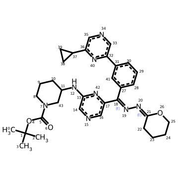 CC(C)(C)OC(=O)N1CCCC(Nc2cncc(/C(=N/N=C3\CCCCO3)c3cccc(-c4cncc(C5CC5)n4)c3)n2)C1